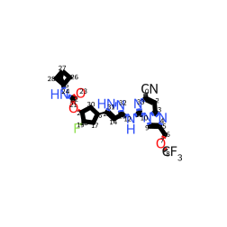 N#Cc1cc2nc(COC(F)(F)F)cn2c(Nc2cc([C@H]3C[C@@H](F)[C@@H](OC(=O)NC45CC(C4)C5)C3)[nH]n2)n1